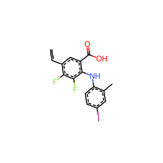 C=Cc1cc(C(=O)O)c(Nc2ccc(I)cc2C)c(F)c1F